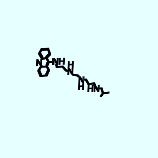 CC(C)CNCCCNCCNCCCNc1c2ccccc2nc2ccccc12